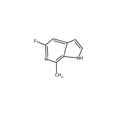 Cc1nc(F)cc2cc[nH]c12